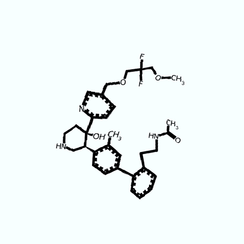 COCC(F)(F)COCc1ccc([C@@]2(O)CCNC[C@@H]2c2ccc(-c3ccccc3CCNC(C)=O)cc2C)nc1